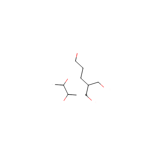 O=C(O)C(O)C(O)C(=O)O.OCCCC(CO)CO